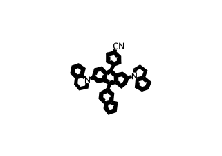 N#Cc1ccc(-c2c3ccc(N4CCCc5ccccc54)cc3c(-c3ccc4ccccc4c3)c3ccc(N4CCCc5ccccc54)cc23)cc1